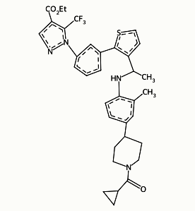 CCOC(=O)c1cnn(-c2cccc(-c3sccc3C(C)Nc3ccc(C4CCN(C(=O)C5CC5)CC4)cc3C)c2)c1C(F)(F)F